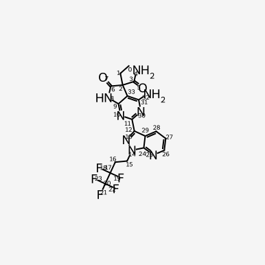 CCC1(C(N)=O)C(=O)Nc2nc(-c3nn(CCC(F)(F)C(F)(F)F)c4ncccc34)nc(N)c21